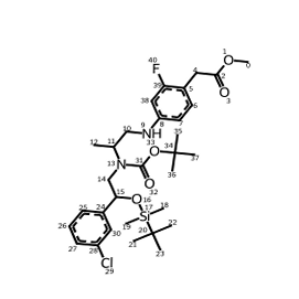 COC(=O)Cc1ccc(NCC(C)N(CC(O[Si](C)(C)C(C)(C)C)c2cccc(Cl)c2)C(=O)OC(C)(C)C)cc1F